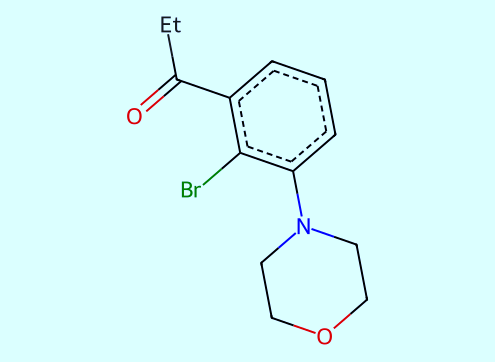 CCC(=O)c1cccc(N2CCOCC2)c1Br